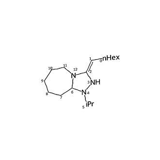 CCCCCC/C=C1\NN(C(C)C)C2CCCCCN12